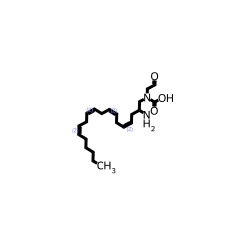 CCCCC/C=C\C/C=C\C/C=C\C/C=C\CC(N)CN(CC=O)C(=O)O